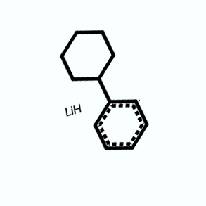 [LiH].[c]1ccccc1C1CCCCC1